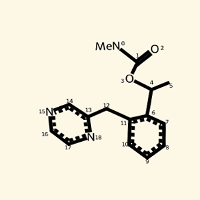 CNC(=O)OC(C)c1ccccc1Cc1cnccn1